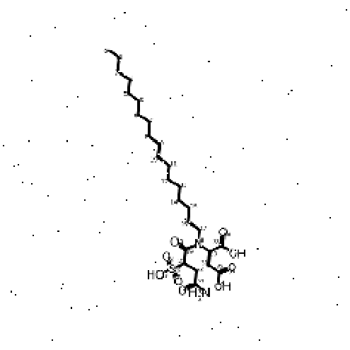 CCCCCCCCCCCCCCCCCCN(C(=O)C(CC(N)=O)S(=O)(=O)O)C(CC(=O)O)C(=O)O